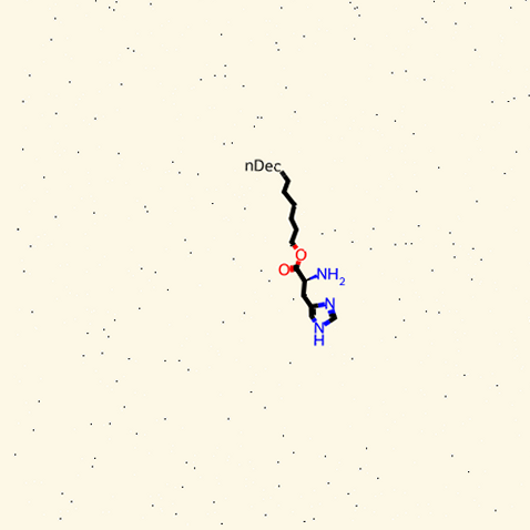 CCCCCCCCCCCCCCCCOC(=O)[C@@H](N)Cc1c[nH]cn1